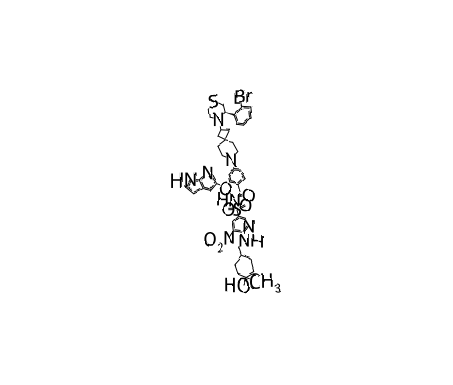 CC1(O)CCC(CNc2ncc(S(=O)(=O)NC(=O)c3ccc(N4CCC5(CC4)CC(N4CCSC[C@H]4c4ccccc4Br)C5)cc3Oc3cnc4[nH]ccc4c3)cc2[N+](=O)[O-])CC1